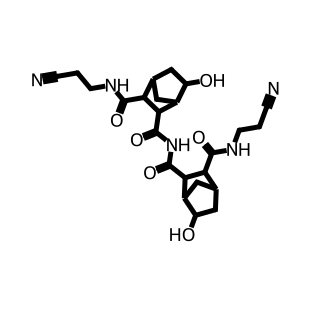 N#CCCNC(=O)C1C2CC(O)C(C2)C1C(=O)NC(=O)C1C2CC(CC2O)C1C(=O)NCCC#N